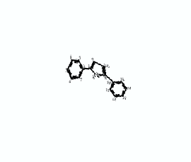 C1=C(c2ccccc2)[N]C(c2ccccc2)=C1